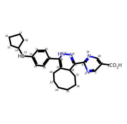 O=C(O)c1cnc(C2=NNC(c3ccc(BC4CCCC4)cc3)=C3CCCCCCC23)nc1